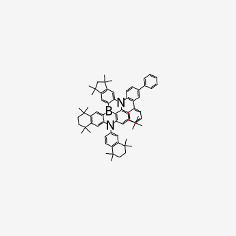 CC(C)(C)c1cc2c3c(c1)N(c1ccc(-c4ccccc4)cc1-c1ccccc1)c1cc4c(cc1B3c1cc3c(cc1N2c1ccc2c(c1)C(C)(C)CCC2(C)C)C(C)(C)CCC3(C)C)C(C)(C)CC4(C)C